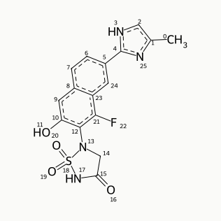 Cc1c[nH]c(-c2ccc3cc(O)c(N4CC(=O)NS4(=O)=O)c(F)c3c2)n1